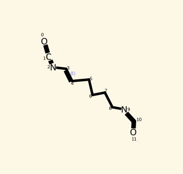 O=C=N/C=C/CCCCN=C=O